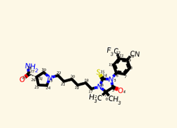 CC1(C)C(=O)N(c2ccc(C#N)c(C(F)(F)F)c2)C(=S)N1CCCCCCN1CC[C@H](C(N)=O)C1